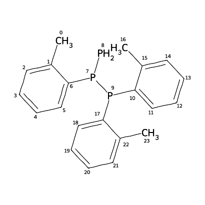 Cc1ccccc1P(P)P(c1ccccc1C)c1ccccc1C